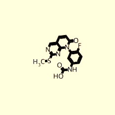 CSc1ncc2ccc(=O)n(-c3cc(NC(=O)O)ccc3F)c2n1